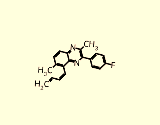 C=C/C=C\c1c(C)ccc2nc(C)c(-c3ccc(F)cc3)nc12